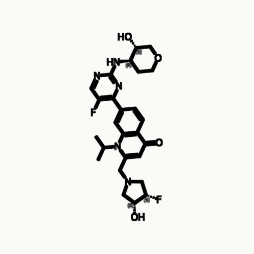 CC(C)n1c(CN2C[C@@H](O)[C@@H](F)C2)cc(=O)c2ccc(-c3nc(N[C@@H]4CCOC[C@H]4O)ncc3F)cc21